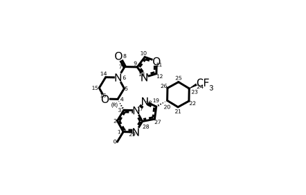 Cc1cc([C@H]2CN(C(=O)c3cocn3)CCO2)n2nc([C@H]3CC[C@H](C(F)(F)F)CC3)cc2n1